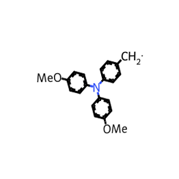 [CH2]c1ccc(N(c2ccc(OC)cc2)c2ccc(OC)cc2)cc1